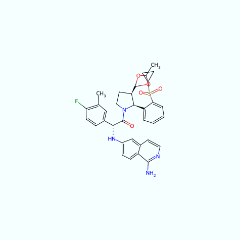 Cc1cc([C@@H](Nc2ccc3c(N)nccc3c2)C(=O)N2CC[C@@H](C3OC(C)O3)[C@H]2c2ccccc2S(=O)(=O)C2CC2)ccc1F